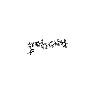 CC(C)(C)OC(=O)N1CCOC(Cn2cc(Nc3ncnc(N4CCN(c5ncc(Oc6ccccc6F)cn5)CC4)n3)cn2)C1